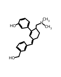 CN(C)CC1CC/C(=C/c2cccc(CO)c2)C=C1c1cccc(O)c1